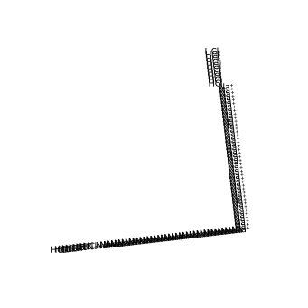 Cl.Cl.Cl.Cl.Cl.Cl.Cl.Cl.Cl.Cl.Cl.Cl.Cl.Cl.Cl.Cl.Cl.Cl.Cl.Cl.[Na+].[Na+].[Na+].[Na+].[Na+].[Na+].[Na+].[Na+].[Na+].[Na+].[Na+].[Na+].[Na+].[Na+].[Na+].[Na+].[Na+].[Na+].[Na+].[Na+].[Na+].[Na+].[Na+].[Na+].[Na+].[Na+].[Na+].[Na+].[Na+].[Na+].[Na+].[Na+].[Na+].[Na+].[Na+].[Na+].[Na+].[Na+].[Na+].[Na+].[Na+].[Na+].[Na+].[Na+].[Na+].[Na+].[Na+].[Na+].[Na+].[Na+].[Na+].[Na+].[Na+].[Na+].[Na+].[Na+].[Na+].[Na+].[Na+].[Na+].[Na+].[Na+].[Na+].[Na+].[Na+].[Na+].[Na+].[Na+].[Na+].[Na+].[Na+].[Na+].[Na+].[Na+].[Na+].[Na+].[Na+].[Na+].[Na+].[Na+]